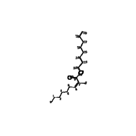 CCCCCCC=C(C)C(=O)OCCCCCCCC